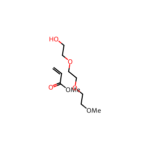 C=CC(=O)OC.COCCOCCOCCO